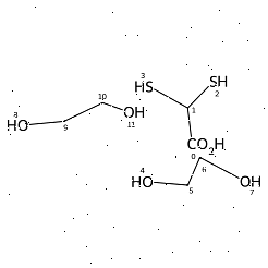 O=C(O)C(S)S.OCCO.OCCO